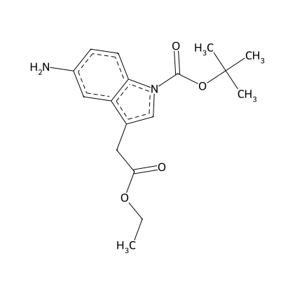 CCOC(=O)Cc1cn(C(=O)OC(C)(C)C)c2ccc(N)cc12